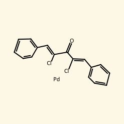 O=C(C(Cl)=Cc1ccccc1)C(Cl)=Cc1ccccc1.[Pd]